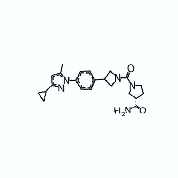 Cc1cc(C2CC2)nn1-c1ccc(C2CN(C(=O)N3CC[C@H](C(N)=O)C3)C2)cc1